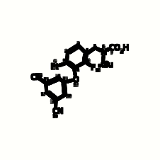 CCc1ccc(CN(C(=O)O)C(C)(C)C)c(F)c1Oc1cc(Cl)cc(C#N)c1